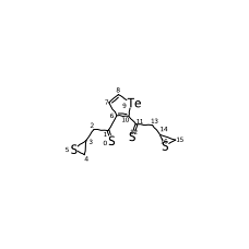 S=C(CC1CS1)c1cc[te]c1C(=S)CC1CS1